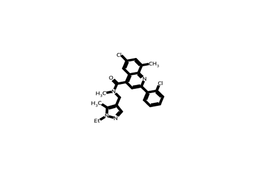 CCn1ncc(CN(C)C(=O)c2cc(-c3ccccc3Cl)nc3c(C)cc(Cl)cc23)c1C